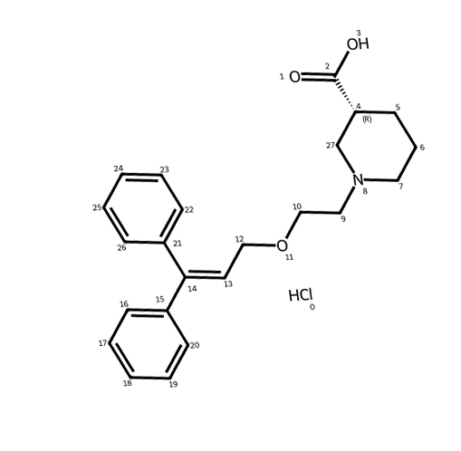 Cl.O=C(O)[C@@H]1CCCN(CCOCC=C(c2ccccc2)c2ccccc2)C1